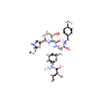 Cc1ccc(CNC(=O)[C@H](Cc2cccc(N(C)C(=O)C(C#N)=CC(C)C)c2)NC(=O)[C@@H](NC(=O)c2cnc(C)s2)[C@@H](C)O)cc1